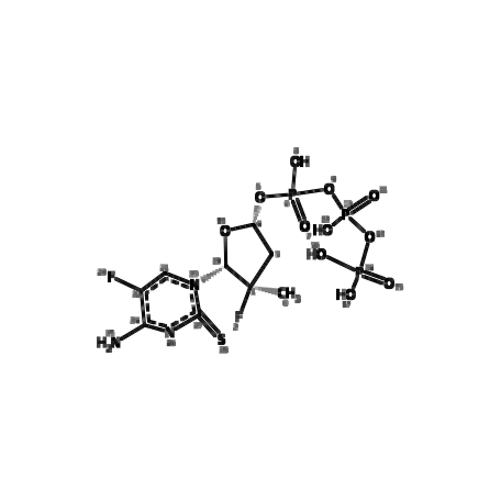 C[C@@]1(F)C[C@@H](OP(=O)(O)OP(=O)(O)OP(=O)(O)O)O[C@H]1n1cc(F)c(N)nc1=S